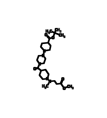 COC(=O)CCN(C)N1CCC(C(=O)N2CCN(N3CCC(C(=O)OC(C)(C)C)CC3)CC2)CC1